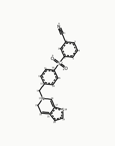 N#Cc1cccc(S(=O)(=O)c2ccc(CN3C=c4sccc4=CC3)cc2)c1